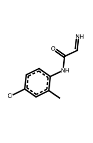 Cc1cc(Cl)ccc1NC(=O)C=N